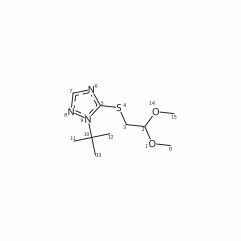 COC(CSc1ncnn1C(C)(C)C)OC